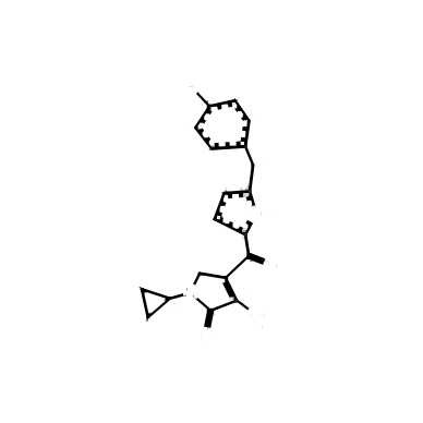 O=C(C1=C(O)C(=O)N(C2CC2)C1)c1ccc(Cc2ccc(F)cc2)o1